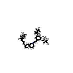 CC(C)(CCC[C@@H]1CC[C@]2(CCC/C(=C\C=C3C[C@@H](O[Si](C)(C)C(C)(C)C)C[C@H](O[Si](C)(C)C(C)(C)C)C3)C2)C1)O[Si](C)(C)C